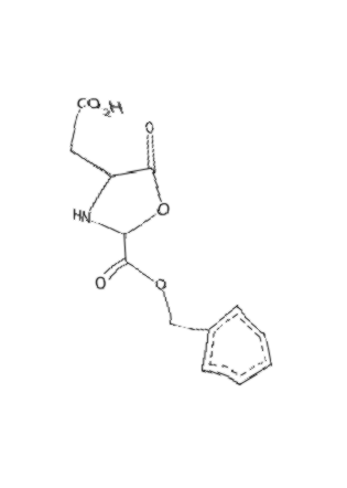 O=C(O)CC1NC(C(=O)OCc2ccccc2)OC1=O